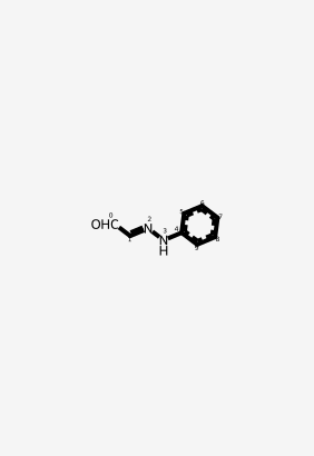 O=CC=NNc1ccccc1